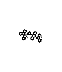 Cc1cccc2cc(C3=C4C=CC=CC4C(c4cccc(-c5nc6ccccc6c6c7ccccc7c7ccccc7c56)c4)c4ccccc43)c3cccnc3c12